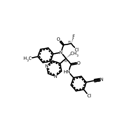 Cc1ccc(N(C(=O)[C@H](F)Cl)[C@@](C)(C(=O)Nc2ccc(Cl)c(C#N)c2)c2cncnc2)cc1